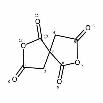 O=C1CC2(CC(=O)OC2=O)C(=O)O1